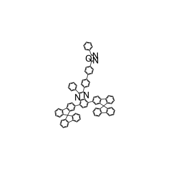 c1ccc(-c2nnc(-c3ccc(-c4ccc(-c5nc6c(-c7ccc8c(c7)C7(c9ccccc9-c9ccccc97)c7ccccc7-8)ccc(-c7ccc8c(c7)C7(c9ccccc9-c9ccccc97)c7ccccc7-8)c6nc5-c5ccccc5)cc4)cc3)o2)cc1